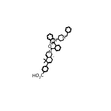 CC1(C)C(c2ccc(C(=O)O)cc2)=CC[C@]2(C)CN(C(=O)c3ccccc3-c3nc4ccccc4n3C3CCN(Cc4ccccc4)CC3)CC=C12